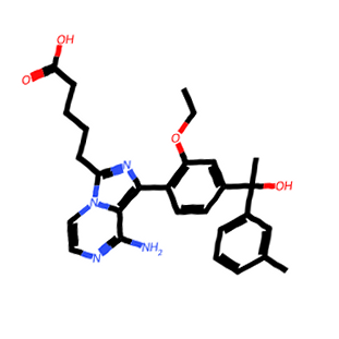 CCOc1cc(C(C)(O)c2cccc(C)c2)ccc1-c1nc(CCCCC(=O)O)n2ccnc(N)c12